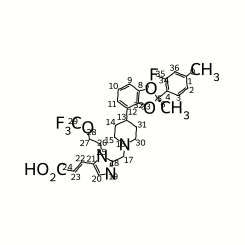 Cc1ccc([C@@]2(C)Oc3cccc(C4CCN(Cc5ncc(/C=C/C(=O)O)n5CCOC(F)(F)F)CC4)c3O2)c(F)c1